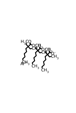 CCCCCCC(CC)(CC)C(=O)[O-].CCCCCCC(CC)(CC)C(=O)[O-].CCCCCCC(CC)(CC)C(=O)[O-].[Al+3]